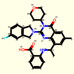 Cc1cc(C(C)Nc2ccccc2C(=O)O)c2nc(N3Cc4ccc(F)cc4C3)n(C3CCOCC3)c(=O)c2c1